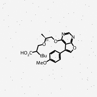 COc1ccc(-c2coc3ncnc(OC[C@H](C)OCC(C(=O)O)C(C)(C)C)c23)cc1